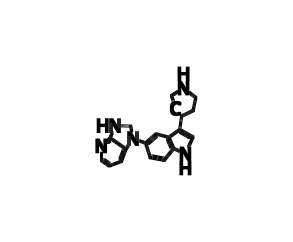 c1cnc2c(c1)N(c1ccc3[nH]cc(C4CCNCC4)c3c1)CN2